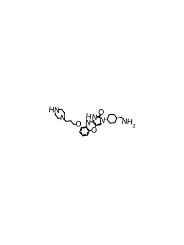 NC[C@H]1CC[C@H](n2cc3c(nc2=O)Nc2c(OCCCN4CCNCC4)cccc2O3)CC1